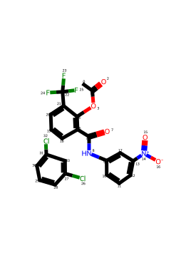 CC(=O)Oc1c(C(=O)Nc2cccc([N+](=O)[O-])c2)cccc1C(F)(F)F.Clc1cccc(Cl)c1